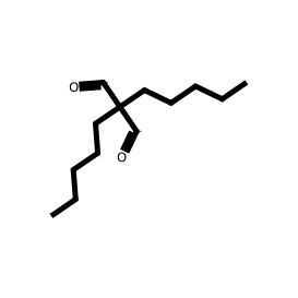 CCCCCC([C]=O)([C]=O)CCCCC